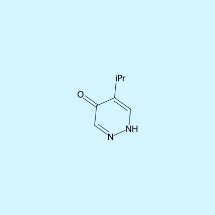 CC(C)c1c[nH]ncc1=O